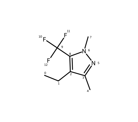 CCc1c(C)nn(C)c1C(F)(F)F